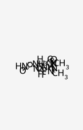 Cc1nc(CNc2nc(Nc3ccc4c(c3)CC(=O)N4)ncc2C(F)(F)F)cc(N(C)S(C)(=O)=O)n1